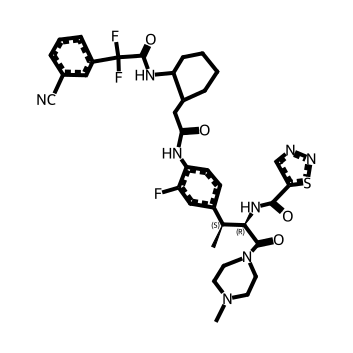 C[C@@H](c1ccc(NC(=O)CC2CCCCC2NC(=O)C(F)(F)c2cccc(C#N)c2)c(F)c1)[C@@H](NC(=O)c1cnns1)C(=O)N1CCN(C)CC1